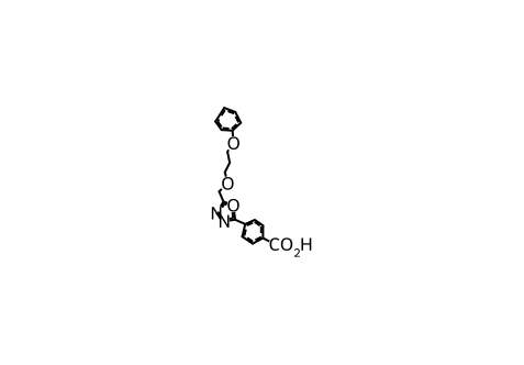 O=C(O)c1ccc(-c2nnc(COCCCOc3ccccc3)o2)cc1